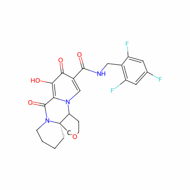 O=C(NCc1c(F)cc(F)cc1F)c1cn2c(c(O)c1=O)C(=O)N1CCCC[C@]13COCCC23